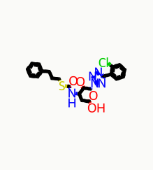 O=C(O)CC(NC(=O)SCCCc1ccccc1)C(=O)Cn1nnc(-c2ccccc2Cl)n1